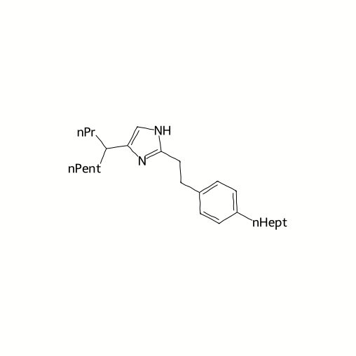 CCCCCCCc1ccc(CCc2nc(C(CCC)CCCCC)c[nH]2)cc1